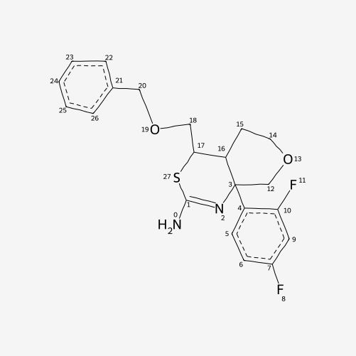 NC1=NC2(c3ccc(F)cc3F)COCCC2C(COCc2ccccc2)S1